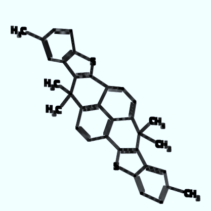 Cc1ccc2sc3c(c2c1)C(C)(C)c1ccc2c4c(ccc-3c14)C(C)(C)c1c-2sc2ccc(C)cc12